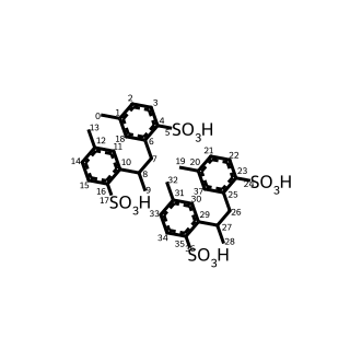 Cc1ccc(S(=O)(=O)O)c(CC(C)c2cc(C)ccc2S(=O)(=O)O)c1.Cc1ccc(S(=O)(=O)O)c(CC(C)c2cc(C)ccc2S(=O)(=O)O)c1